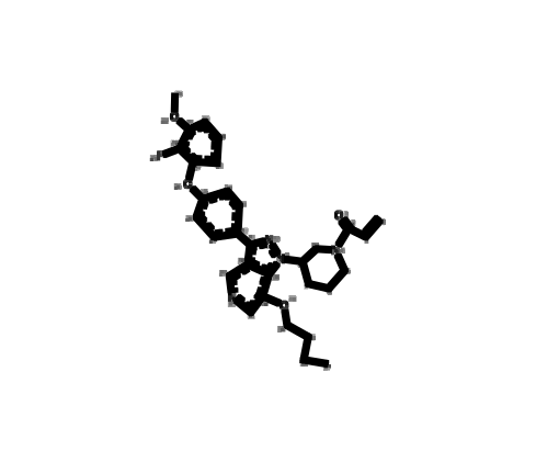 C=CC(=O)N1CCCC(n2nc(-c3ccc(Oc4cccc(OC)c4F)cc3)c3cncc(OCCCC)c32)C1